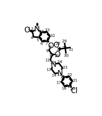 CN1C(=O)Cc2cc(OCC(CN3CCN(c4ccc(Cl)cc4)CC3)OC(=O)C(C)(C)C)ccc21